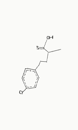 CC(CCc1ccc(Cl)cc1)C(O)=S